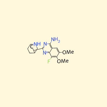 COc1cc2c(N)nc(C3CC4CCC3CN4)nc2c(F)c1OC